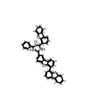 c1ccc(C2NC(c3ccc4oc5c(-c6cccc7c6sc6ccccc67)cccc5c4c3)NC(c3cccc4c3oc3ccccc34)N2)cc1